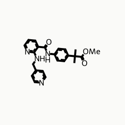 COC(=O)C(C)(C)c1ccc(NC(=O)c2cccnc2NCc2ccncc2)cc1